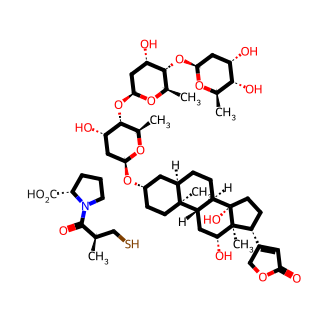 C[C@H](CS)C(=O)N1CCC[C@H]1C(=O)O.C[C@H]1O[C@@H](O[C@H]2[C@@H](O)C[C@H](O[C@H]3[C@@H](O)C[C@H](O[C@H]4CC[C@@]5(C)[C@H](CC[C@@H]6[C@@H]5C[C@@H](O)[C@]5(C)[C@@H](C7=CC(=O)OC7)CC[C@]65O)C4)O[C@@H]3C)O[C@@H]2C)C[C@H](O)[C@@H]1O